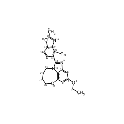 CCOc1cc2c3c(c1)nc(-c1ccc4oc(C)nc4c1F)n3CCCCO2